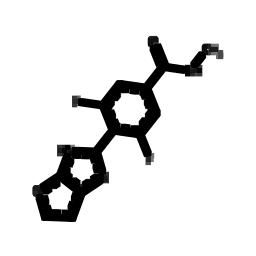 CNC(=O)c1cc(F)c(-c2nc3ccoc3[nH]2)c(F)c1